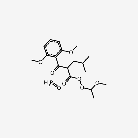 COc1cccc(OC)c1C(=O)C(CC(C)C)C(=O)OOC(C)OC.O=[PH3]